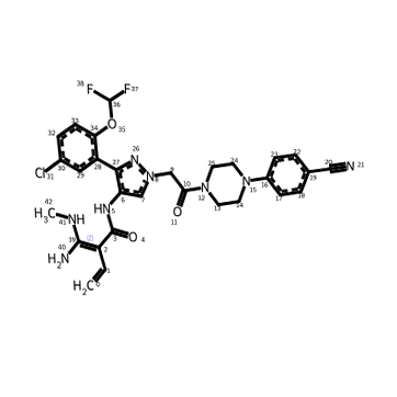 C=C/C(C(=O)Nc1cn(CC(=O)N2CCN(c3ccc(C#N)cc3)CC2)nc1-c1cc(Cl)ccc1OC(F)F)=C(\N)NC